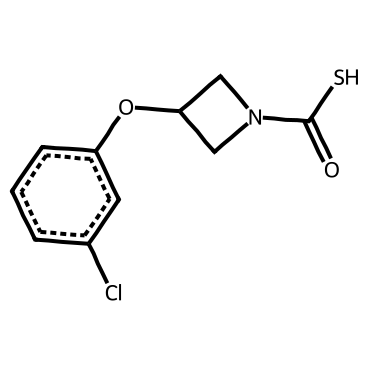 O=C(S)N1CC(Oc2cccc(Cl)c2)C1